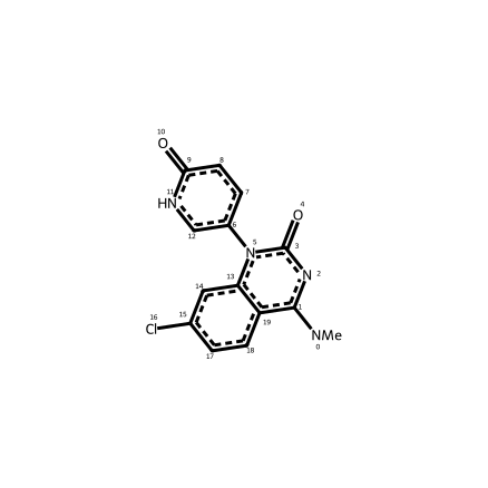 CNc1nc(=O)n(-c2ccc(=O)[nH]c2)c2cc(Cl)ccc12